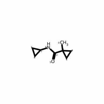 CC1(C(=O)NC2CC2)CC1